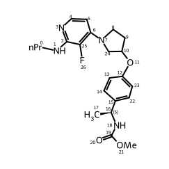 CCCNc1nccc(N2CCC(Oc3ccc([C@H](C)NC(=O)OC)cc3)C2)c1F